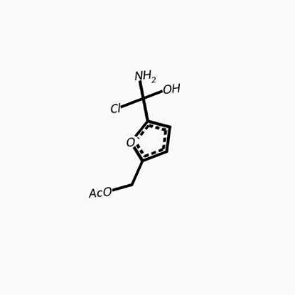 CC(=O)OCc1ccc(C(N)(O)Cl)o1